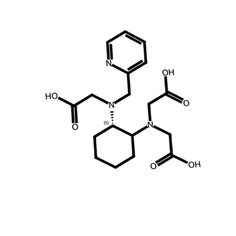 O=C(O)CN(CC(=O)O)C1CCCC[C@@H]1N(CC(=O)O)Cc1ccccn1